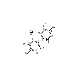 Cc1cnc(-c2cc(C)c(C)cn2)cc1C.[Cr]